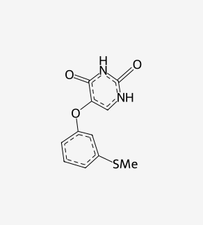 CSc1cccc(Oc2c[nH]c(=O)[nH]c2=O)c1